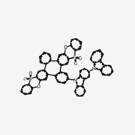 O=S1(=O)c2ccccc2Oc2cc3c(cc21)-c1ccccc1-c1cc2c(cc1-c1cc(-n4c5ccccc5c5cc(-n6c7ccccc7c7ccccc76)ccc54)ccc1-3)S(=O)(=O)c1ccccc1O2